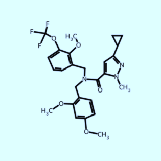 COc1ccc(CN(Cc2cccc(OC(F)(F)F)c2OC)C(=O)c2cc(C3CC3)nn2C)c(OC)c1